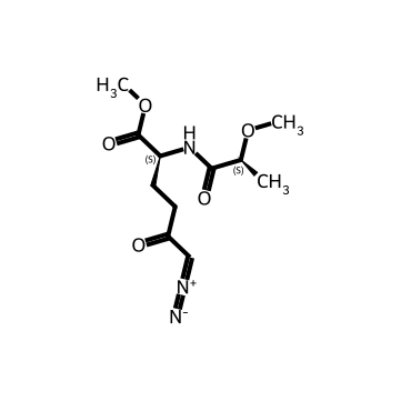 COC(=O)[C@H](CCC(=O)C=[N+]=[N-])NC(=O)[C@H](C)OC